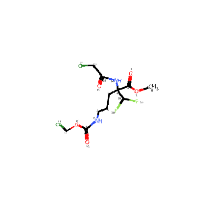 COC(=O)C(CCCNC(=O)OCCl)(NC(=O)CCl)C(F)F